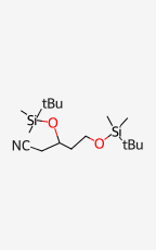 CC(C)(C)[Si](C)(C)OCCC(CC#N)O[Si](C)(C)C(C)(C)C